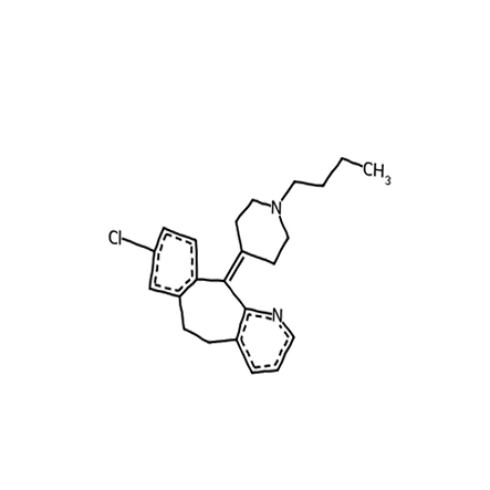 CCCCN1CCC(=C2c3ccc(Cl)cc3CCc3cccnc32)CC1